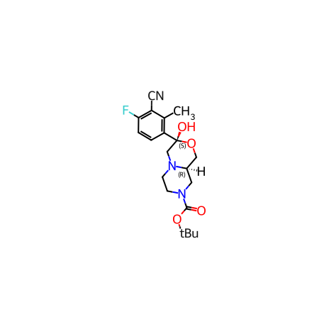 Cc1c([C@@]2(O)CN3CCN(C(=O)OC(C)(C)C)C[C@@H]3CO2)ccc(F)c1C#N